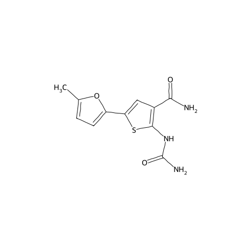 Cc1ccc(-c2cc(C(N)=O)c(NC(N)=O)s2)o1